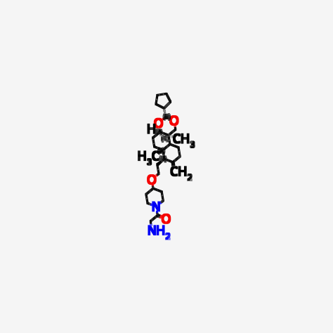 C=C1CCC2[C@]3(C)CO[C@@H](C4CCCC4)O[C@@H]3CC[C@@]2(C)[C@@H]1CCOC1CCN(C(=O)CN)CC1